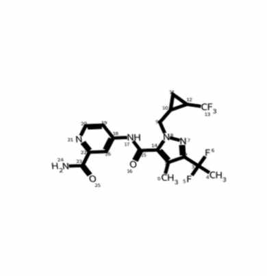 Cc1c(C(C)(F)F)nn(CC2CC2C(F)(F)F)c1C(=O)Nc1ccnc(C(N)=O)c1